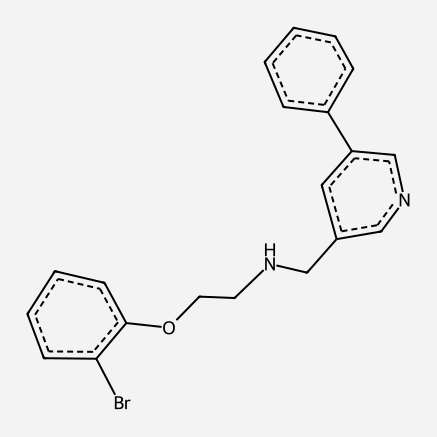 Brc1ccccc1OCCNCc1cncc(-c2ccccc2)c1